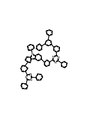 c1ccc(-c2cc(-c3ccccc3)cc(-c3cccc(-c4nc(-c5ccccc5)nc(-c5cccc(-c6ccc7c(c6)c6cc(-c8cccc(-c9nc(-c%10ccccc%10)nc(-c%10ccccc%10)n9)c8)ccc6n7-c6ccccc6)c5)n4)c3)c2)cc1